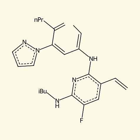 C=Cc1cc(F)c(NC(C)CC)nc1NC(=C/C)/C=C(\C(=C)CCC)n1cccn1